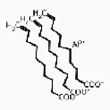 C=CCCCCCCCC(=O)[O-].C=CCCCCCCCC(=O)[O-].C=CCCCCCCCC(=O)[O-].[Al+3]